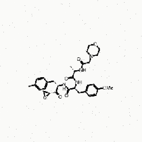 COc1ccc(C[C@H](NC(=O)[C@H](C)NC(=O)CN2CCOCC2)C(=O)N[C@@H](Cc2ccc(C)cc2)C(=O)[C@H]2CO2)cc1